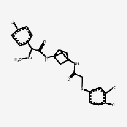 CNC(C(=O)NC12CCC(NC(=O)COc3ccc(Cl)c(Cl)c3)(C1)C2)c1ccc(Cl)cc1